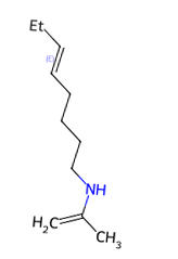 C=C(C)NCCCC/C=C/CC